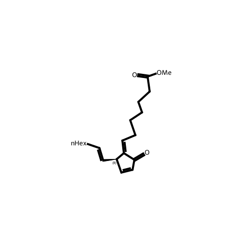 CCCCCCC=C[C@@H]1C=CC(=O)C1=CCCCCCC(=O)OC